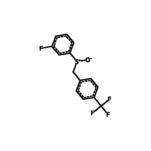 [O-][S+](Cc1ccc(C(F)(F)F)cc1)c1cccc(F)c1